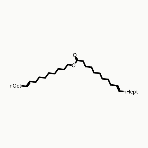 CCCCCCCC=CCCCCCCCCC(=O)OCCCCCCCCC=CCCCCCCCC